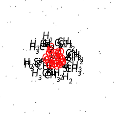 CC=C(C)[SiH2]c1ccc(C(=O)OOC(=O)OCCC(COC(=O)OOC(=O)c2ccc([SiH2]C(C)=CC)cc2)C(COC(=O)OOC(=O)c2ccc([SiH2]C(C)=CC)cc2)C(COC(=O)OOC(=O)c2ccc([SiH2]C(C)=CC)cc2)C(CCOC(=O)OOC(=O)c2ccc([SiH2]C(C)=CC)cc2)COC(=O)OOC(=O)c2ccc([SiH2]C(C)=CC)cc2)cc1